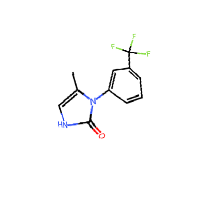 Cc1c[nH]c(=O)n1-c1cccc(C(F)(F)F)c1